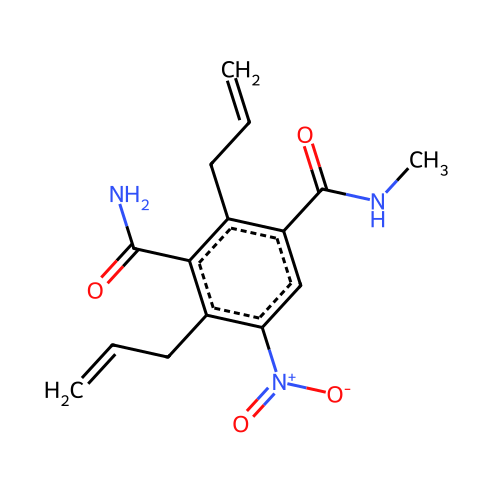 C=CCc1c(C(=O)NC)cc([N+](=O)[O-])c(CC=C)c1C(N)=O